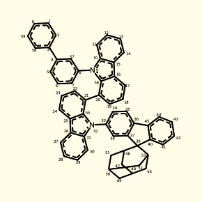 c1ccc(-c2cccc(-n3c4ccccc4c4cccc(-c5cccc6c7ccccc7n(-c7ccc8c(c7)C7(c9ccccc9-8)C8CC9CC(C8)CC7C9)c56)c43)c2)cc1